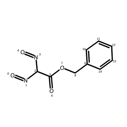 O=NC(N=O)C(=O)OCc1ccccc1